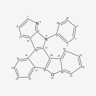 c1ccc(-n2c3ncccc3c3c4ccccc4c4oc5ccccc5c4c32)cc1